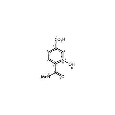 CNC(=O)c1ccc(C(=O)O)c[n+]1O